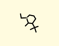 CCN1CCCC(C(C)(C)C)C1C